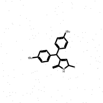 C=C1NC(I)C=C1C(c1ccc(C(C)(C)C)cc1)c1ccc(C(C)(C)C)cc1